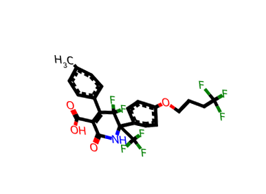 Cc1ccc(C2=C(C(=O)O)C(=O)NC(c3ccc(OCCCC(F)(F)F)cc3)(C(F)(F)F)C2(F)F)cc1